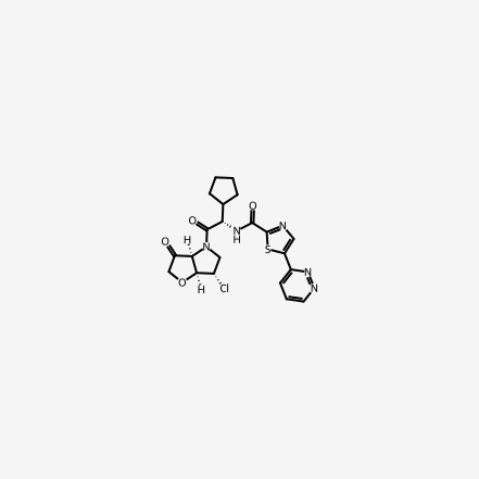 O=C(N[C@H](C(=O)N1C[C@H](Cl)[C@H]2OCC(=O)[C@H]21)C1CCCC1)c1ncc(-c2cccnn2)s1